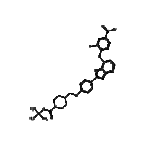 CC(C)(C)OC(=O)N1CCC(COc2ccc(-c3cc4nccc(Oc5ccc([N+](=O)[O-])cc5F)c4s3)cc2)CC1